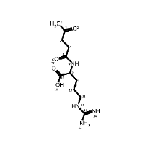 CC(=O)CCC(=O)NC(CCCNC(=N)N)C(=O)O